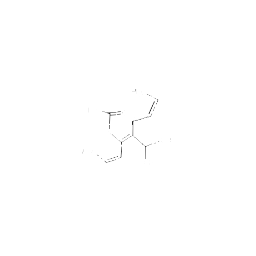 C=C(C)SC(/C=C\C)=C(\C/C=C\C)C(C)C